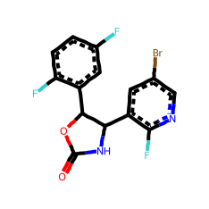 O=C1NC(c2cc(Br)cnc2F)C(c2cc(F)ccc2F)O1